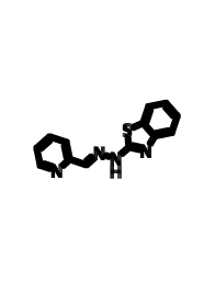 C(=NNc1nc2ccccc2s1)c1ccccn1